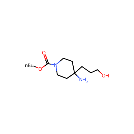 CCCCOC(=O)N1CCC(N)(CCCO)CC1